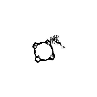 C1=Cc2cc3ccc(cc4nc(cc5ccc(cc1n2)[nH]5)C=C4)[nH]3.C[CH2][Ni]([CH]=CC#N)([CH2]C)([CH2]C)([CH2]C)([CH2]C)([CH2]C)([CH2]C)[CH2]C